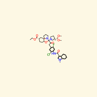 CCOC(=O)[C@H]1CC[C@H](OC(C(=O)Cc2cc(Cl)c(NC(=O)c3cn(C)c4ccccc34)cc2F)(N2CCCC2)N2CC[C@H](C(OC)OC)C2)CC1